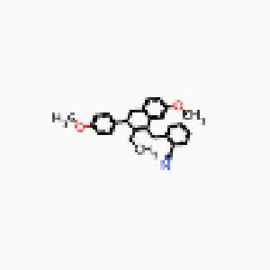 CCC1=C(Cc2ccccc2C#N)c2cc(OC)ccc2CC1c1ccc(OC)cc1